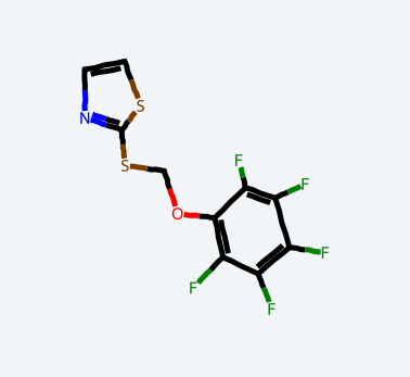 Fc1c(F)c(F)c(OCSc2nccs2)c(F)c1F